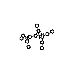 c1ccc(-c2ccc(-c3cc(-c4ccc(-c5ccccc5)cc4)nc(-n4c5ccc(-c6ccccc6)cc5c5cc(-c6ccc7c(c6)c6cc(-c8ccccc8)ccc6n7-c6cccc7ccccc67)ccc54)n3)cc2)cc1